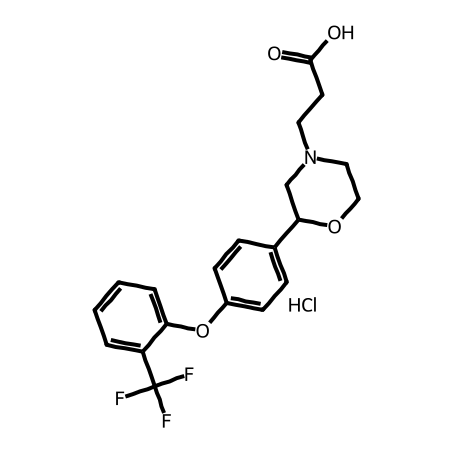 Cl.O=C(O)CCN1CCOC(c2ccc(Oc3ccccc3C(F)(F)F)cc2)C1